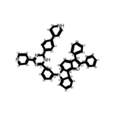 C1=CC(c2ccc(C3N=C(c4ccncc4)N=C(c4cccc(-n5c6ccccc6c6c7oc(-c8ccccc8)c(-c8ccccc8)c7ccc65)c4)N3)cc2)=CCN1